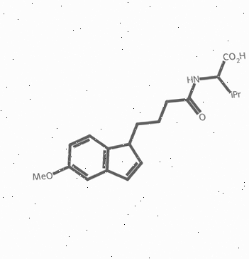 COc1ccc2c(c1)C=CC2CCCC(=O)NC(C(=O)O)C(C)C